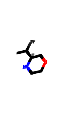 CC(C)C(C)[C@H]1COCCN1